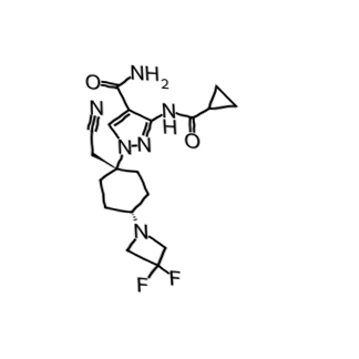 N#CC[C@]1(n2cc(C(N)=O)c(NC(=O)C3CC3)n2)CC[C@@H](N2CC(F)(F)C2)CC1